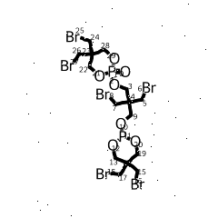 O=P1(OCC(CBr)(CBr)COP2OCC(CBr)(CBr)CO2)OCC(CBr)(CBr)CO1